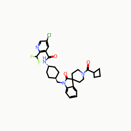 O=C(N[C@H]1CC[C@H](CN2C(=O)C3(CCN(C(=O)C4CCC4)CC3)c3ccccc32)CC1)c1cc(Cl)cnc1C(F)F